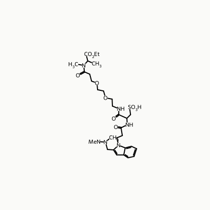 CCOC(=O)C(C)N(C)C(=O)CCOCCOCCNC(=O)C(CS(=O)(=O)O)NC(=O)CCn1c(CN(C)NC)cc2ccccc21